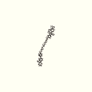 Cn1c2ccncc2c2ccc(-c3ccc(OCCOCCOCCOCCOc4ccc5c(c4)C(=O)N(C4CCC(=O)NC4=O)C5=O)nc3)nc21